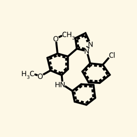 COc1cc(OC)c(-c2ccnn2-c2ccccc2Cl)cc1Nc1ccccc1